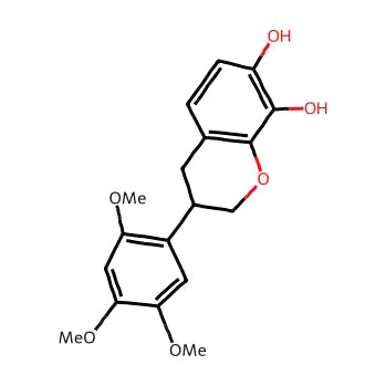 COc1cc(OC)c(C2COc3c(ccc(O)c3O)C2)cc1OC